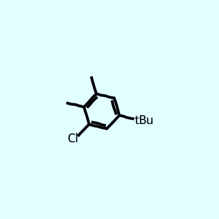 Cc1cc(C(C)(C)C)cc(Cl)c1C